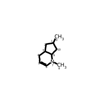 CC1CC2CC=CN(C)C2C1